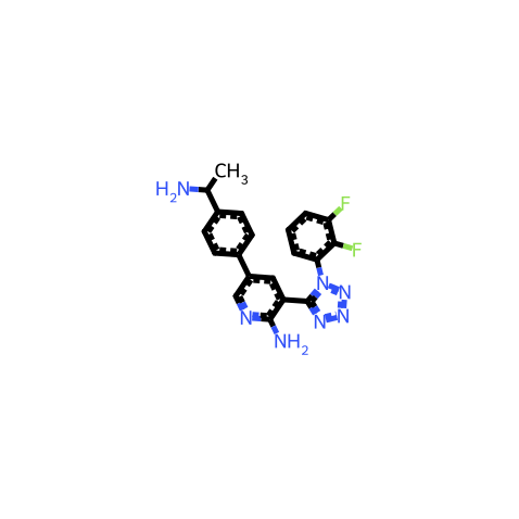 CC(N)c1ccc(-c2cnc(N)c(-c3nnnn3-c3cccc(F)c3F)c2)cc1